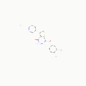 Cc1ccc(-c2csc3c(C(=O)c4ccc(C(F)(F)F)c(C(F)(F)F)c4)n[nH]c(=O)c23)cn1